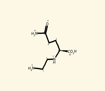 NCCN[C@@H](CCC(N)=O)C(=O)O